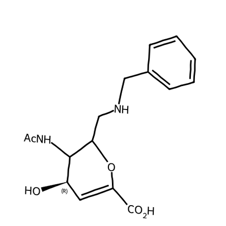 CC(=O)NC1C(CNCc2ccccc2)OC(C(=O)O)=C[C@H]1O